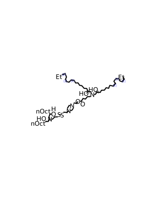 CC/C=C\C/C=C\C/C=C\CCCCCC[C@@H](O)CN(CCCCC(=O)OCCN1CCN(CCSSCCCN(CC(O)CCCCCCCC)CC(O)CCCCCCCC)CC1)C[C@H](O)CCCCCC/C=C\C/C=C\C/C=C\CC